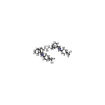 CN(C)c1ccc(/N=N/c2ccc[n+](CCCCCC[n+]3ccccc3/N=N/c3ccc(N(C)C)cc3)c2)cc1